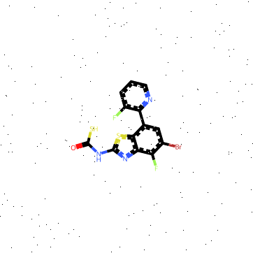 O=C(S)Nc1nc2c(F)c(Br)cc(-c3ncccc3F)c2s1